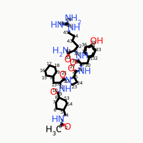 CC(=O)NCC1CCC(C(=O)NC(CC2CCCCC2)C(=O)N2CCC2C(=O)NC(Cc2ccc(O)cc2)C(=O)NC(CCCCNC(=N)N)C(N)=O)CC1